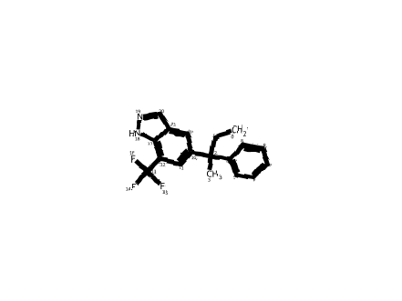 [CH2]CC(C)(c1ccccc1)c1cc(C(F)(F)F)c2[nH]ncc2c1